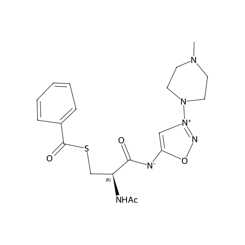 CC(=O)N[C@@H](CSC(=O)c1ccccc1)C(=O)[N-]c1c[n+](N2CCN(C)CC2)no1